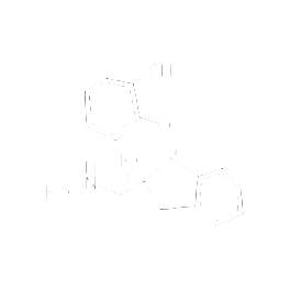 CNC[C@]1(O)Cc2ccccc2[C@H]1Oc1ccccc1C